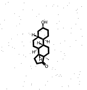 C[C@@]12CC[C@H]3[C@@H]4CC[C@H](O)C[C@H]4CC[C@@H]3[C@H]1CCC2=O